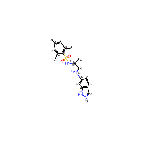 Cc1cc(C)c(S(=O)(=O)N[C@@H](C)CNc2ccc3cn[nH]c3c2)c(C)c1